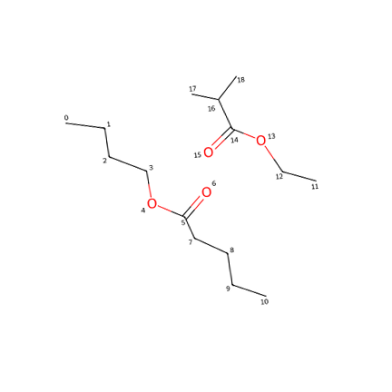 CCCCOC(=O)CCCC.CCOC(=O)C(C)C